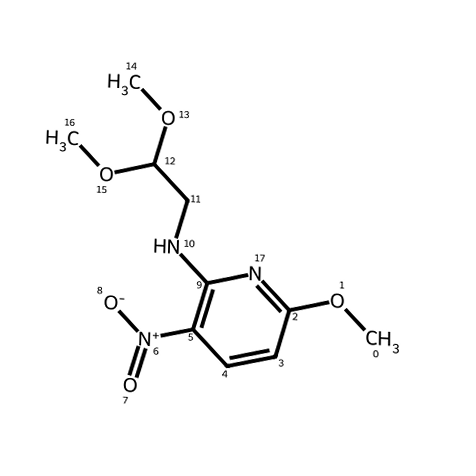 COc1ccc([N+](=O)[O-])c(NCC(OC)OC)n1